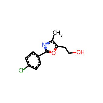 Cc1nc(-c2ccc(Cl)cc2)oc1CCO